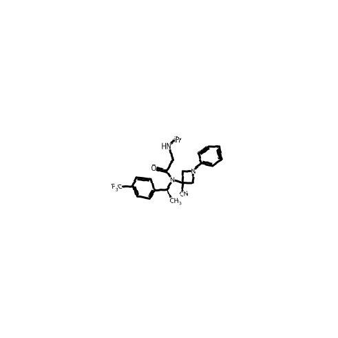 CC(C)NCC(=O)N([C@@H](C)c1ccc(C(F)(F)F)cc1)C1(C#N)CN(c2ccccc2)C1